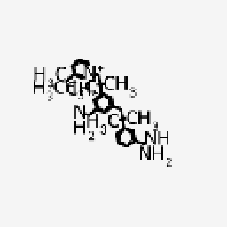 CC(C)(C)c1ccc[n+](CC(C)(C)c2cc(CN)cc(CC(C)(C)c3cccc(C(=N)N)c3)c2)c1